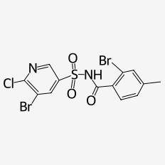 Cc1ccc(C(=O)NS(=O)(=O)c2cnc(Cl)c(Br)c2)c(Br)c1